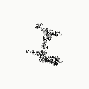 CC[C@H](C)[C@@H]([C@@H](CC(=O)N1C[C@@H](OC(=O)NCCNC(=O)OCc2ccc(NC(=O)[C@H](CCCNC(N)=O)NC(=O)[C@@H](NC(=O)CCCCCN3C(=O)C=CC3=O)C(C)C)cc2)C[C@H]1[C@H](OC)[C@@H](C)C(=O)NCC(=O)c1ccc2cc(OC)ccc2c1)OC)N(C)C(=O)[C@@H](NC(=O)[C@H](C(C)C)N(C)C)C(C)C